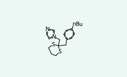 CCCCc1ccc(CC2(Cn3ccnc3)SCCCS2)cc1